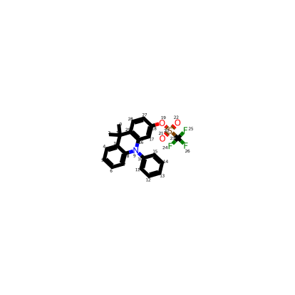 CC1(C)c2ccccc2N(c2ccccc2)c2cc(OS(=O)(=O)C(F)(F)F)ccc21